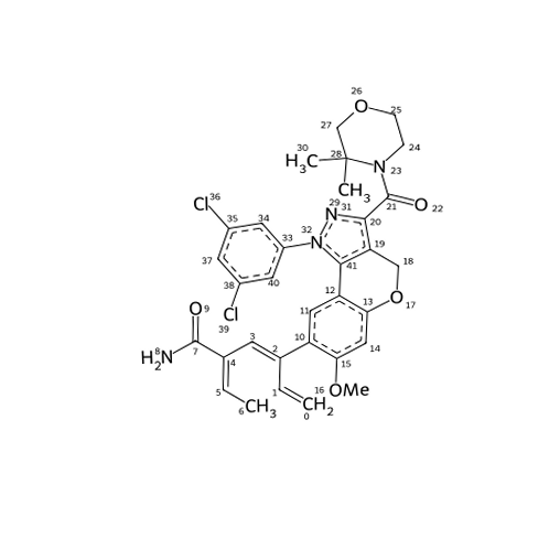 C=C/C(=C\C(=C/C)C(N)=O)c1cc2c(cc1OC)OCc1c(C(=O)N3CCOCC3(C)C)nn(-c3cc(Cl)cc(Cl)c3)c1-2